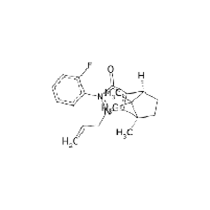 C=CCn1c2c(c(=O)n1-c1ccccc1F)[C@H]1CC[C@]2(C)C1(C)C